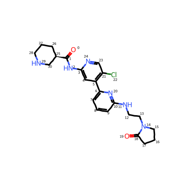 O=C(Nc1cc(-c2cccc(NCCN3CCCC3=O)n2)c(Cl)cn1)[C@@H]1CCCNC1